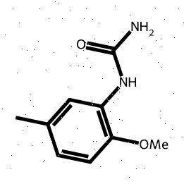 COc1ccc(C)cc1NC(N)=O